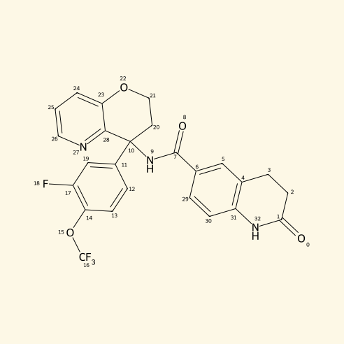 O=C1CCc2cc(C(=O)NC3(c4ccc(OC(F)(F)F)c(F)c4)CCOc4cccnc43)ccc2N1